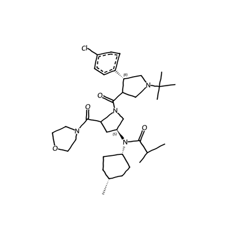 CC(C)C(=O)N([C@H]1CC(C(=O)N2CCOCC2)N(C(=O)C2CN(C(C)(C)C)C[C@H]2c2ccc(Cl)cc2)C1)[C@H]1CC[C@@H](C)CC1